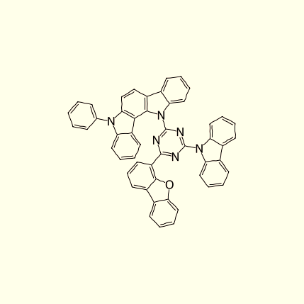 c1ccc(-n2c3ccccc3c3c2ccc2c4ccccc4n(-c4nc(-c5cccc6c5oc5ccccc56)nc(-n5c6ccccc6c6ccccc65)n4)c23)cc1